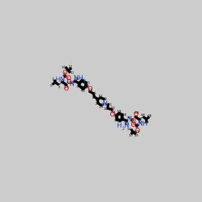 CC(C)C[C@H](NC(=O)OC(C)(C)C)C(=O)ON=C(N)c1ccc(OCCCC2CCN(CCCOc3ccc(C(N)=NOC(=O)[C@H](CC(C)C)NC(=O)OC(C)(C)C)cc3)CC2)cc1